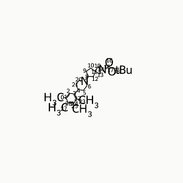 Cc1cc(C2CCN([C@@H]3CCC4(C3)CN(C(=O)OC(C)(C)C)C4)CC2)c(C)c(C)c1C